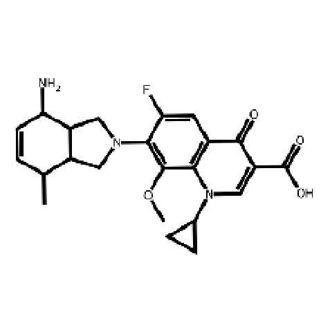 COc1c(N2CC3C(C)C=CC(N)C3C2)c(F)cc2c(=O)c(C(=O)O)cn(C3CC3)c12